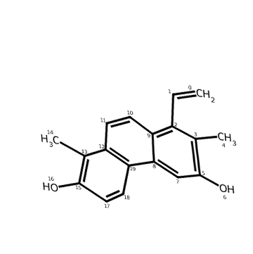 C=Cc1c(C)c(O)cc2c1ccc1c(C)c(O)ccc12